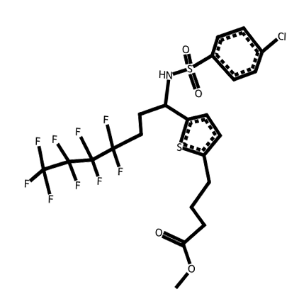 COC(=O)CCCc1ccc(C(CCC(F)(F)C(F)(F)C(F)(F)C(F)(F)F)NS(=O)(=O)c2ccc(Cl)cc2)s1